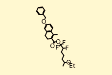 CCOC(C)CCCC(F)C(F)(F)OC(=O)C1=C(C)c2ccc(OCc3ccccc3)cc2CC1